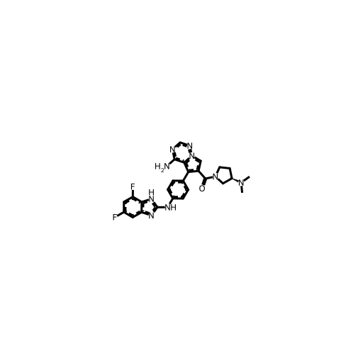 CN(C)[C@@H]1CCN(C(=O)c2cn3ncnc(N)c3c2-c2ccc(Nc3nc4cc(F)cc(F)c4[nH]3)cc2)C1